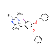 COC1=N[C@H](C(C)C)C(OC)=N[C@H]1Cc1cc(OCc2ccccc2)c(OCc2ccccc2)cc1I